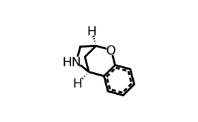 c1ccc2c(c1)O[C@@H]1CN[C@H]2C1